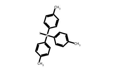 Cc1ccc(S(I)(c2ccc(C)cc2)c2ccc(C)cc2)cc1